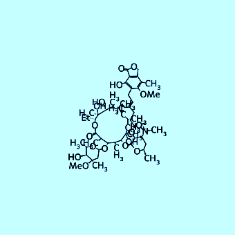 CC[C@H]1OC(=O)[C@H](C)[C@@H](O[C@H]2C[C@@](C)(OC)[C@@H](O)[C@H](C)O2)[C@H](C)[C@@H](O[C@@H]2O[C@H](C)CC(N(C)C)[C@H]2OC(=O)CC/C(C)=C/Cc2c(O)c3c(c(C)c2OC)COC3=O)[C@](C)(O)C[C@@H](C)CN(C)[C@H](C)[C@@H](O)[C@]1(C)O